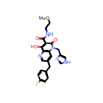 COCCNC(=O)c1c(O)c2ncc(Cc3ccc(F)cc3)cc2n(Cc2c[nH]cn2)c1=O